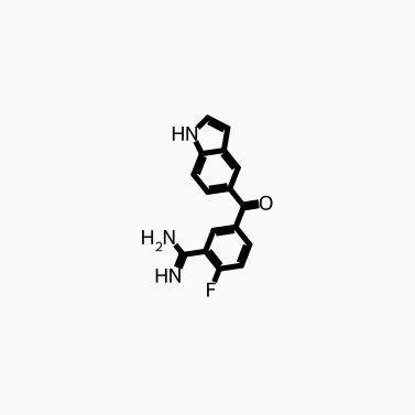 N=C(N)c1cc(C(=O)c2ccc3[nH]ccc3c2)ccc1F